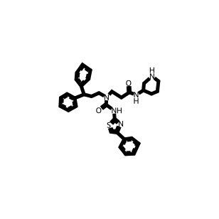 O=C(CCN(CCC(c1ccccc1)c1ccccc1)C(=O)Nc1nc(-c2ccccc2)cs1)NC1CCCNC1